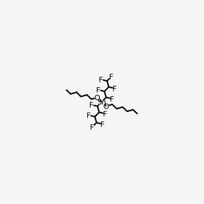 CCCCCC[O][Sn]([O]CCCCCC)([CH](F)C(F)C(F)C(F)F)[CH](F)C(F)C(F)C(F)F